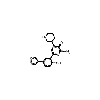 Nc1nc(-c2cc(-c3cnoc3)ccc2O)cn(C2CCCNC2)c1=O